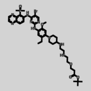 CCc1cc(Nc2ncc(Br)c(Nc3ccc4nccnc4c3P(C)(C)=O)n2)c(OC)cc1N1CCC(NCCNCCOCCC(=O)OC(C)(C)C)CC1